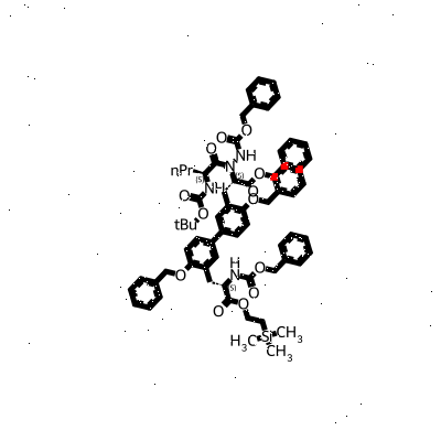 CCC[C@H](NC(=O)OC(C)(C)C)C(=O)N(NC(=O)OCc1ccccc1)[C@@H](Cc1cc(-c2ccc(OCc3ccccc3)c(C[C@H](NC(=O)OCc3ccccc3)C(=O)OCC[Si](C)(C)C)c2)ccc1OCc1ccccc1)C(=O)OCc1ccccc1